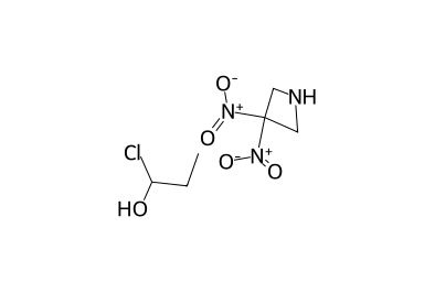 CCC(O)Cl.O=[N+]([O-])C1([N+](=O)[O-])CNC1